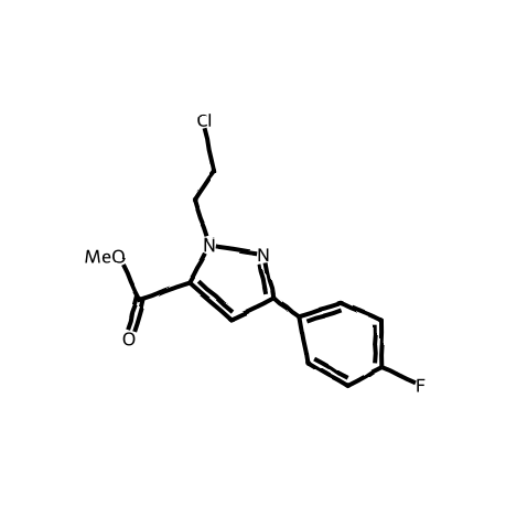 COC(=O)c1cc(-c2ccc(F)cc2)nn1CCCl